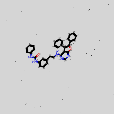 O=C(Nc1ccccc1)Nc1cccc(CCNc2ncnc3oc(-c4ccccc4)c(-c4ccccc4)c23)c1